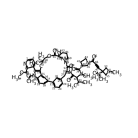 CCn1c(-c2cccnc2[C@H](C)OC)c2c3cc(ccc31)-c1cccc(c1)C[C@H](NC(=O)C(C(C)C)N(C)C(=O)[C@H]1CCN(C(=O)C#CC3(N(C)C)CN(C)C3)C1)C(=O)N1CCC[C@H](N1)C(=O)OCC(C)(C)C2